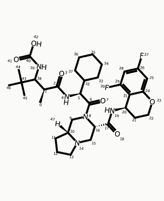 C[C@H](C(=O)N[C@H](C(=O)N1C[C@H]2CCCN2C[C@H]1C(=O)N[C@@H]1CCOc2cc(F)cc(F)c21)C1CCCCC1)C(NC(=O)O)C(C)(C)C